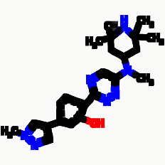 CN(c1cnc(-c2ccc(-c3cnn(C)c3)cc2O)nn1)C1CC(C)(C)NC(C)(C)C1